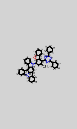 Cc1cc(-n2c3ccccc3c3c4c5ccccc5n5c6ccccc6c(cc32)c45)c2oc3ccccc3c2c1-c1nc(-c2ccccc2)nc(-c2ccccc2)n1